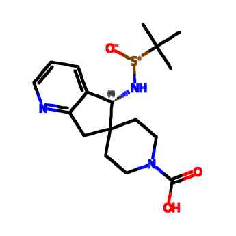 CC(C)(C)[S+]([O-])N[C@H]1c2cccnc2CC12CCN(C(=O)O)CC2